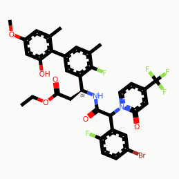 CCOC(=O)C[C@H](NC(=O)C(c1cc(Br)ccc1F)n1ccc(C(F)(F)F)cc1=O)c1cc(-c2c(C)cc(OC)cc2O)cc(C)c1F